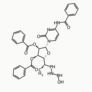 C[C@H](PNBO)[C@H]1O[C@@H](n2ccc(NC(=O)c3ccccc3)nc2=O)[C@H](OC(=O)c2ccccc2)[C@@H]1OC(=O)c1ccccc1